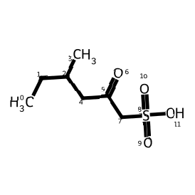 CCC(C)CC(=O)CS(=O)(=O)O